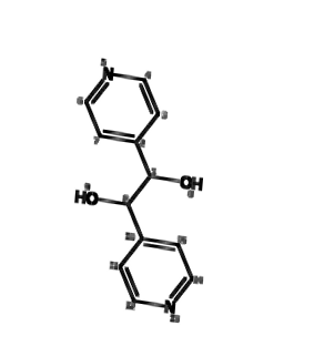 OC(c1ccncc1)C(O)c1ccncc1